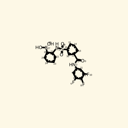 O=C(Nc1cc(F)c(F)c(F)c1)c1cccc(S(=O)(=O)Nc2ccccc2B(O)O)c1